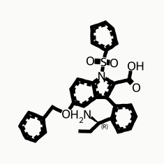 CC[C@@H](N)c1ccccc1-c1c(C(=O)O)n(S(=O)(=O)c2ccccc2)c2ccc(OCc3ccccc3)cc12